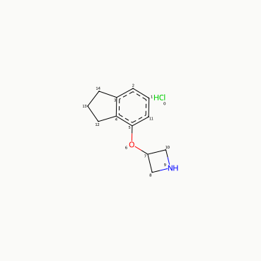 Cl.c1cc2c(c(OC3CNC3)c1)CCC2